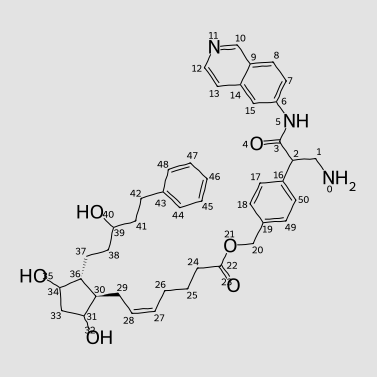 NCC(C(=O)Nc1ccc2cnccc2c1)c1ccc(COC(=O)CCC/C=C\C[C@H]2C(O)CC(O)[C@@H]2CCC(O)CCc2ccccc2)cc1